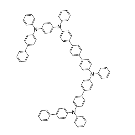 c1ccc(-c2ccc(N(c3ccccc3)c3ccc(-c4ccc(N(c5ccccc5)c5ccc(-c6ccc(-c7ccc(N(c8ccccc8)c8ccc(N(c9ccccc9)c9ccc(-c%10ccccc%10)cc9)cc8)cc7)cc6)cc5)cc4)cc3)cc2)cc1